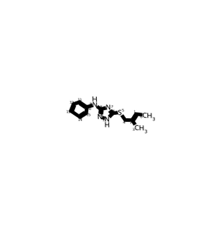 CC=C(C)CSc1nc(Nc2ccccc2)n[nH]1